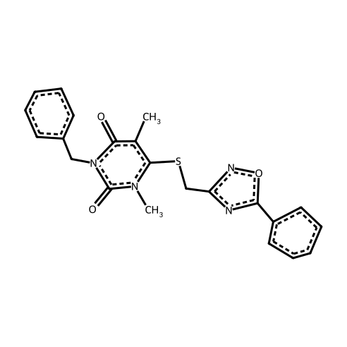 Cc1c(SCc2noc(-c3ccccc3)n2)n(C)c(=O)n(Cc2ccccc2)c1=O